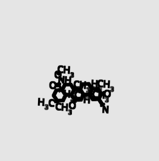 CONC(=O)[C@]12CCC(C)(C)CC1C1C(=O)C[C@@H]3[C@@]4(C)C=C(C#N)C(=O)[C@@H](C)[C@@H]4CC[C@@]3(C)[C@]1(C)CC2